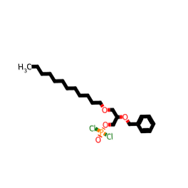 CCCCCCCCCCCCOCC(COP(=O)(Cl)Cl)OCc1ccccc1